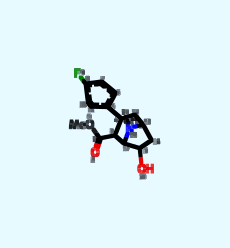 COC(=O)C1C(c2ccc(F)cc2)CC2CC(O)C1N2C